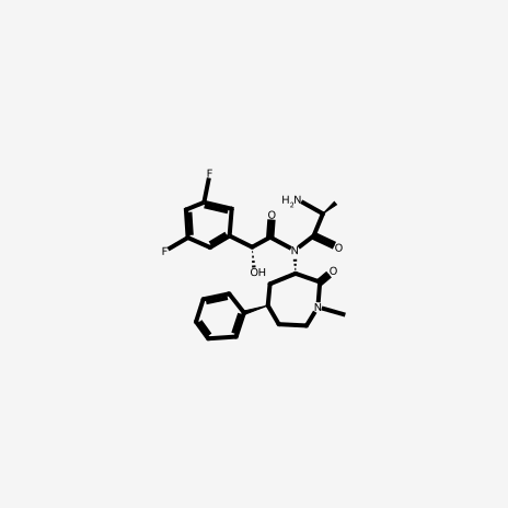 C[C@H](N)C(=O)N(C(=O)[C@H](O)c1cc(F)cc(F)c1)[C@H]1C[C@H](c2ccccc2)CCN(C)C1=O